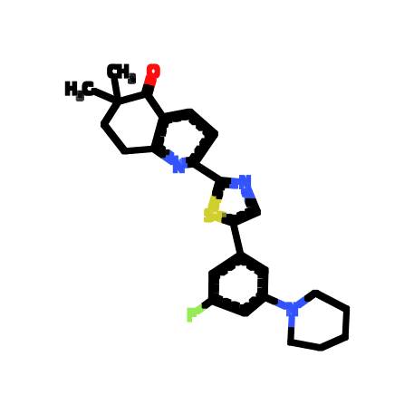 CC1(C)CCc2nc(-c3ncc(-c4cc(F)cc(N5CCCCC5)c4)s3)ccc2C1=O